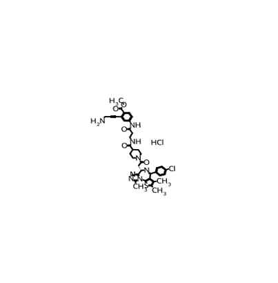 COC(=O)c1ccc(NC(=O)CCNC(=O)C2CCN(C(=O)C[C@@H]3N=C(c4ccc(Cl)cc4)c4c(sc(C)c4C)-n4c(C)nnc43)CC2)cc1C#CCN.Cl